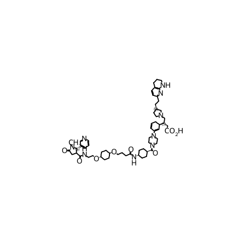 CN1C(=O)CC(C(=O)NCCO[C@H]2CC[C@H](OCCCC(=O)N[C@H]3CC[C@H](C(=O)N4CCN(C5=CC([C@H](CC(=O)O)CN6CC[C@@H](CCc7ccc8c(n7)NCCC8)C6)CC=C5)CC4)CC3)CC2)[C@H]1c1cccnc1